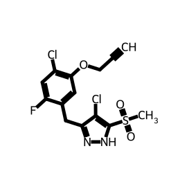 C#CCOc1cc(Cc2n[nH]c(S(C)(=O)=O)c2Cl)c(F)cc1Cl